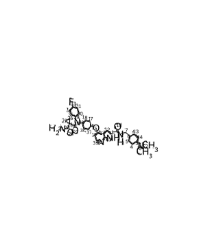 CN(C)c1ccc(CNC(=O)c2cc3c(Oc4ccc(N(C(=O)C5(C(N)=O)CC5)c5ccc(F)cc5)cc4)ccnc3[nH]2)cc1